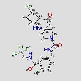 O=C(NCC(F)(F)F)c1cc(CNC(=O)N2CCC3(CC2)CC(=O)c2cc(F)ccc2N3)ccc1F